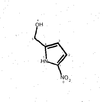 O=[N+]([O-])c1ccc(CO)[nH]1